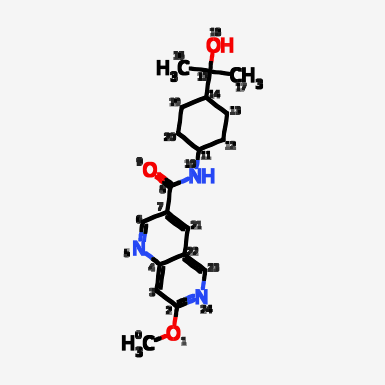 COc1cc2ncc(C(=O)NC3CCC(C(C)(C)O)CC3)cc2cn1